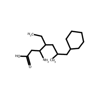 CCC(CC(C)CC1CCCCC1)C(N)CC(=O)O